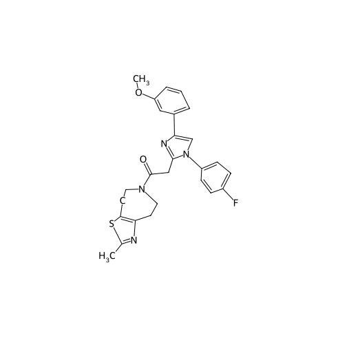 COc1cccc(-c2cn(-c3ccc(F)cc3)c(CC(=O)N3CCc4nc(C)sc4CC3)n2)c1